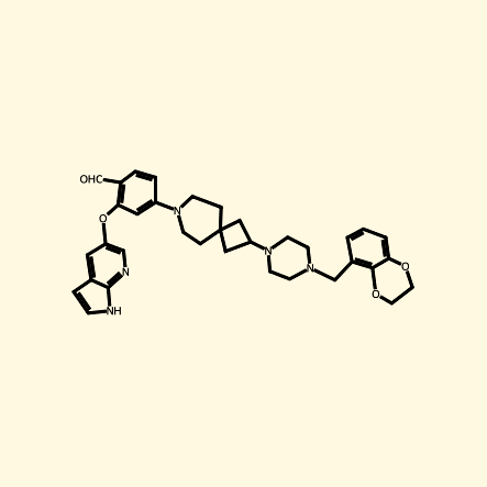 O=Cc1ccc(N2CCC3(CC2)CC(N2CCN(Cc4cccc5c4OCCO5)CC2)C3)cc1Oc1cnc2[nH]ccc2c1